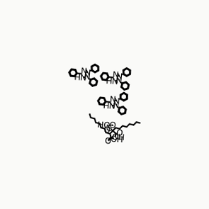 CCCCCCCCC(C(=O)O)C(CCCCCCCC)(C(=O)O)S(=O)(=O)O.c1ccc(C2=NN(c3ccccc3)N(c3ccccc3)N2)cc1.c1ccc(C2=NN(c3ccccc3)N(c3ccccc3)N2)cc1.c1ccc(C2=NN(c3ccccc3)N(c3ccccc3)N2)cc1